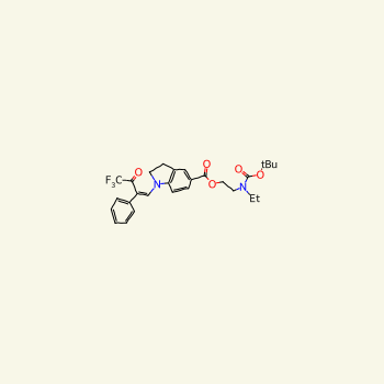 CCN(CCOC(=O)c1ccc2c(c1)CCN2/C=C(\C(=O)C(F)(F)F)c1ccccc1)C(=O)OC(C)(C)C